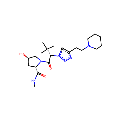 CNC(=O)[C@@H]1C[C@@H](O)CN1C(=O)[C@@H](n1cc(CCN2CCCCC2)nn1)C(C)(C)C